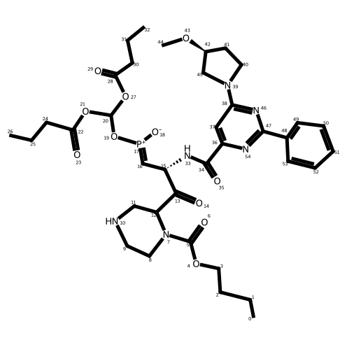 CCCCOC(=O)N1CCNCC1C(=O)[C@H](/C=[P+](\[O-])OC(OC(=O)CCC)OC(=O)CCC)NC(=O)c1cc(N2CC[C@H](OC)C2)nc(-c2ccccc2)n1